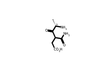 C[C@H](N)C(=O)C(CC(=O)O)C(N)=O